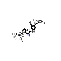 CN(C)C=Nc1ccc(NC(=O)/C(F)=C\c2cccn2C(=O)OC(C)(C)C)cc1C#N